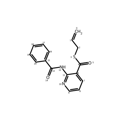 C=CCSC(=O)c1cccnc1NC(=O)c1ccccc1